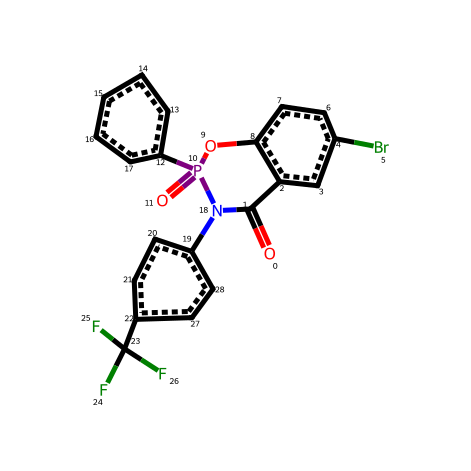 O=C1c2cc(Br)ccc2OP(=O)(c2ccccc2)N1c1ccc(C(F)(F)F)cc1